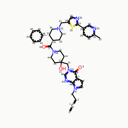 C=C=CCn1ccc2c(=O)n(CC3(O)CCN(C(=O)[C@@H]4CCN(Cc5cnc(-c6ccc(C)nc6)s5)C[C@H]4c4ccccc4)CC3)cnc21